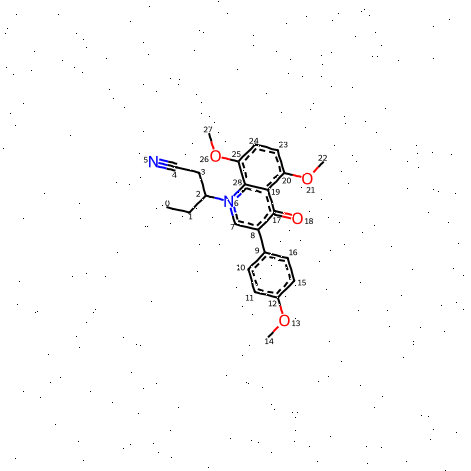 CCC(CC#N)n1cc(-c2ccc(OC)cc2)c(=O)c2c(OC)ccc(OC)c21